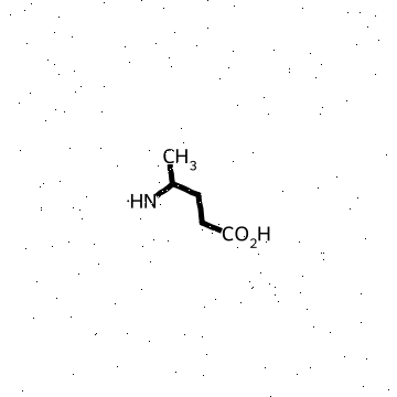 CC([NH])CCC(=O)O